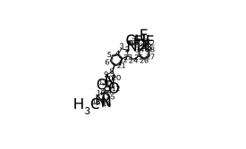 CNC1Cc2ccc(C3CN(S(=O)(=O)c4cnn(C)c4)C3)cc2C1Cc1cccc(C(F)(F)F)c1